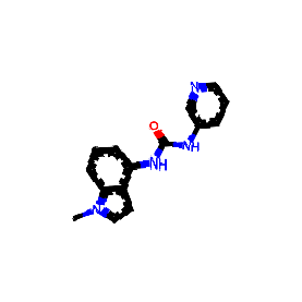 Cn1ccc2c(NC(=O)Nc3cccnc3)cccc21